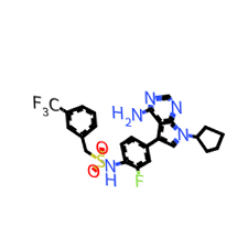 Nc1ncnc2c1c(-c1ccc(NS(=O)(=O)Cc3cccc(C(F)(F)F)c3)c(F)c1)cn2C1CCCC1